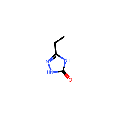 CCc1n[nH]c(=O)[nH]1